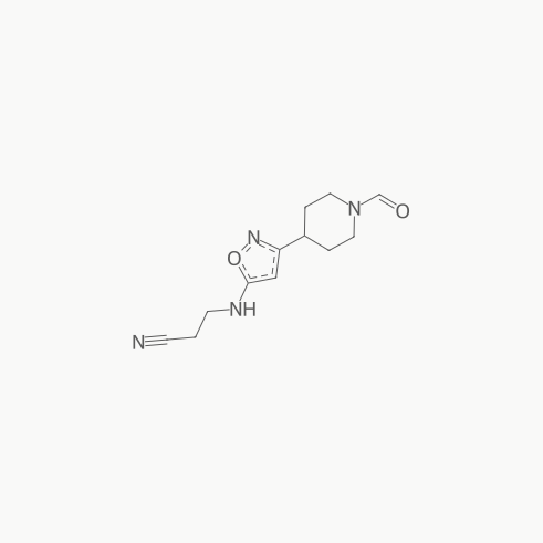 N#CCCNc1cc(C2CCN(C=O)CC2)no1